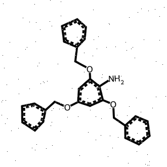 Nc1c(OCc2ccccc2)cc(OCc2ccccc2)cc1OCc1ccccc1